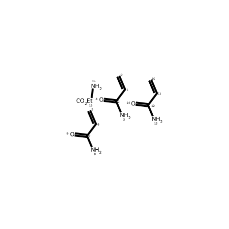 C=CC(N)=O.C=CC(N)=O.C=CC(N)=O.CCOC(N)=O